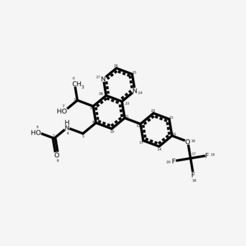 CC(O)c1c(CNC(=O)O)cc(-c2ccc(OC(F)(F)F)cc2)c2nccnc12